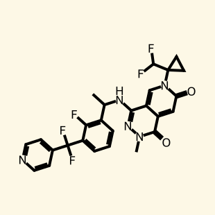 CC(Nc1nn(C)c(=O)c2cc(=O)n(C3(C(F)F)CC3)cc12)c1cccc(C(F)(F)c2ccncc2)c1F